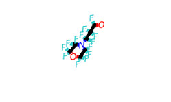 O=C(F)C(F)(F)C(F)(F)N1C(F)(F)C(F)(F)OC(F)(F)C1(F)F